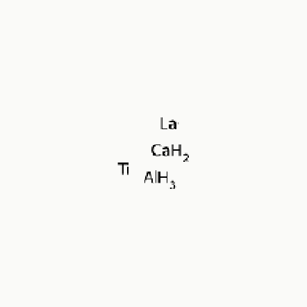 [AlH3].[CaH2].[La].[Ti]